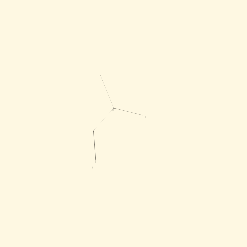 C[C](Cl)CO